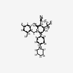 Cc1ccc(Cn2c(-c3ccc(N4CCCCC4)cc3)cc(C(F)(F)F)c(C#N)c2=O)c(C)c1